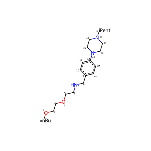 CCCCOCCOCCNCc1ccc(N2CCN(C(C)CCC)CC2)cc1